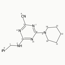 CC(C)CNc1nc(C#N)nc(N2CCCCC2)n1